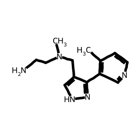 Cc1ccncc1-c1n[nH]cc1CN(C)CCN